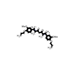 COc1cc(/C(C)=C(\C)C(=O)CC(=O)/C(C)=C(\C)c2ccc(OCCN)c(OC)c2)ccc1OCCN